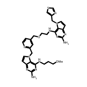 COCCCNc1nc(N)nc2ccn(Cc3cc(COCCNc4nc(N)nc5ccn(Cc6cscn6)c45)ccn3)c12